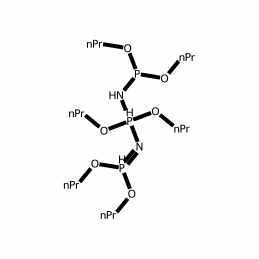 CCCOP(N[PH](N=[PH](OCCC)OCCC)(OCCC)OCCC)OCCC